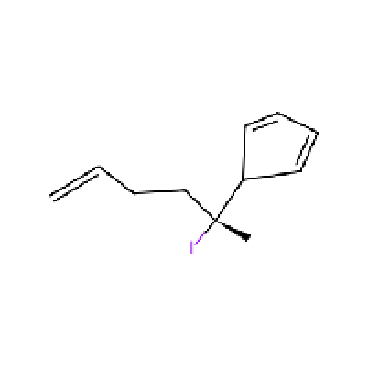 C=CCC[C@@](C)(I)C1C=CC=C1